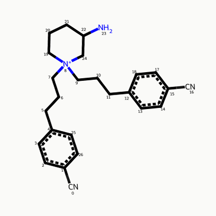 N#Cc1ccc(CCC[N+]2(CCCc3ccc(C#N)cc3)CCCC(N)C2)cc1